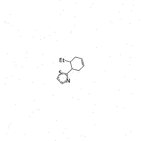 CCC1CC=CCC1c1nccs1